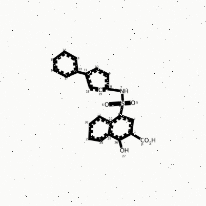 O=C(O)c1cc(S(=O)(=O)Nc2ccc(-c3ccccc3)cc2)c2ccccc2c1O